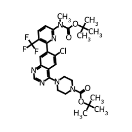 CN(C(=O)OC(C)(C)C)c1ccc(C(F)(F)F)c(-c2cc3ncnc(N4CCN(C(=O)OC(C)(C)C)CC4)c3cc2Cl)n1